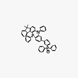 CC1(C)c2ccccc2-c2c1ccc1c2P(c2ccccc2)c2ccc(-c3cccc(P(=O)(c4ccccc4)c4ccccc4)c3)cc2N1c1ccccc1